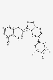 C[C@@H]1CN(c2ccc3c(c2)N(C(=O)Cc2cccc(Cl)c2Cl)CC3)C[C@H](C)N1C